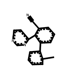 Cc1ccccc1-c1cccc(C#N)c1-c1ccncn1